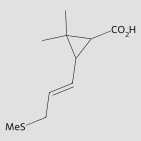 CSC/C=C/C1C(C(=O)O)C1(C)C